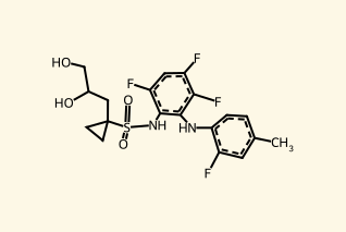 Cc1ccc(Nc2c(F)c(F)cc(F)c2NS(=O)(=O)C2(CC(O)CO)CC2)c(F)c1